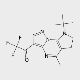 Cc1nc2c(C(=O)C(F)(F)F)cnn2c2c1CCN2C(C)(C)C